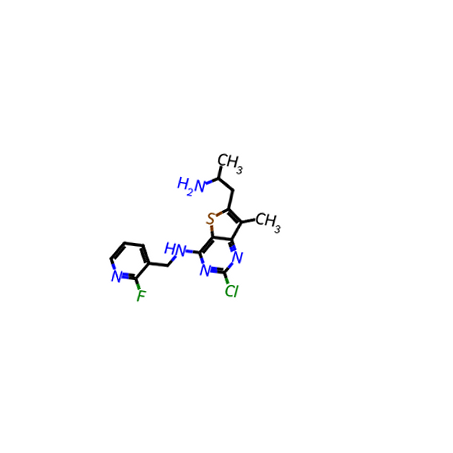 Cc1c(CC(C)N)sc2c(NCc3cccnc3F)nc(Cl)nc12